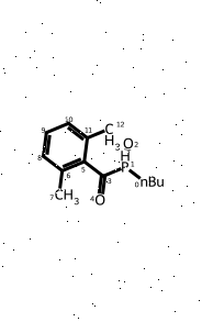 CCCC[PH](=O)C(=O)c1c(C)cccc1C